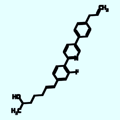 C=CCc1ccc(-c2ccc(-c3ccc(C=CCCCC(C)O)cc3F)nc2)cc1